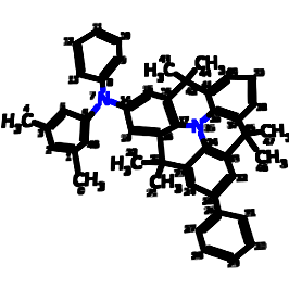 Cc1cc(C)cc(N(c2ccccc2)c2cc3c4c(c2)C(C)(C)c2cc(-c5ccccc5)cc5c2N4c2c(cccc2C3(C)C)C5(C)C)c1